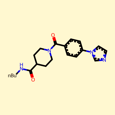 CCCCNC(=O)C1CCN(C(=O)c2ccc(-n3ccnc3)cc2)CC1